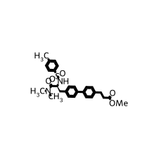 COC(=O)CCc1ccc(-c2ccc(C[C@H](NS(=O)(=O)c3ccc(C)cc3)C(=O)N(C)C)cc2)cc1